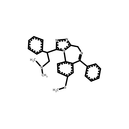 CSc1ccc2c(c1)C(c1ccccc1)=NCc1nnc(C(CN(C)C)c3ccccc3)n1-2